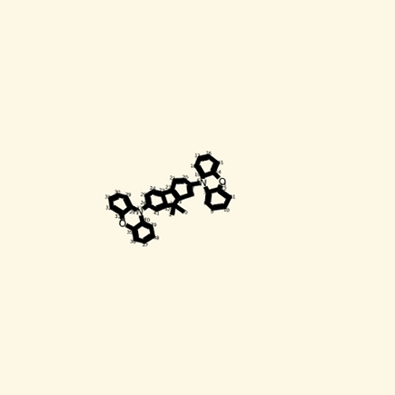 CC1(C)c2cc(N3c4ccccc4Oc4ccccc43)ccc2-c2ccc(N3c4ccccc4Oc4ccccc43)cc21